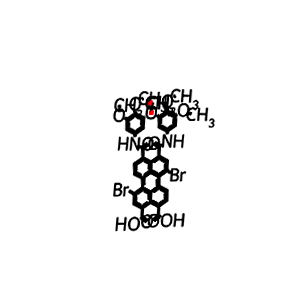 COc1cc(NC(=O)c2ccc3c4c(Br)cc(C(=O)O)c5c(C(=O)O)ccc(c6c(Br)cc(C(=O)Nc7cc(OC)c(OC)c(OC)c7)c2c36)c54)cc(OC)c1OC